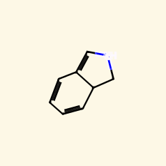 C1=CC2=CNCC2C=C1